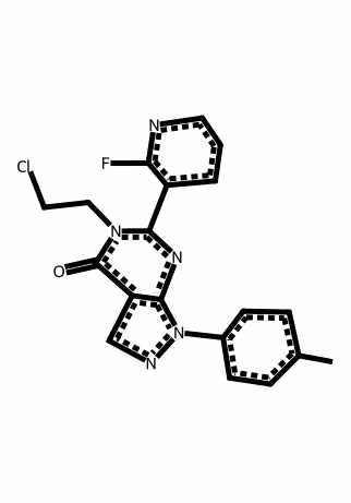 Cc1ccc(-n2ncc3c(=O)n(CCCl)c(-c4cccnc4F)nc32)cc1